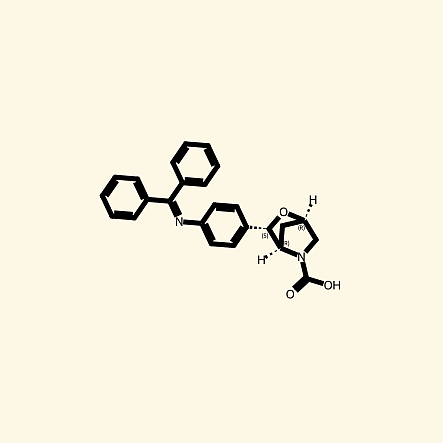 O=C(O)N1C[C@H]2C[C@@H]1[C@H](c1ccc(N=C(c3ccccc3)c3ccccc3)cc1)O2